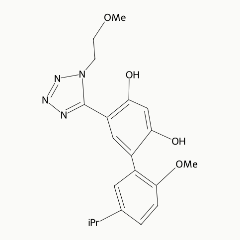 COCCn1nnnc1-c1cc(-c2cc(C(C)C)ccc2OC)c(O)cc1O